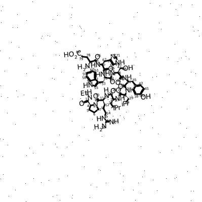 CCNC(=O)[C@@H]1CCCN1C(=O)[C@H](CCCNC(=N)N)NC(=O)[C@H](CC(C)C)NC(=O)[C@@H](CC(C)C)NC(=O)[C@H](Cc1ccc(O)cc1)NC(=O)[C@H](CO)NC(=O)[C@H](Cc1c[nH]c2ccccc12)NC(=O)[C@H](Cc1c[nH]cn1)NC(=O)[C@@H](N)CCC(=O)O